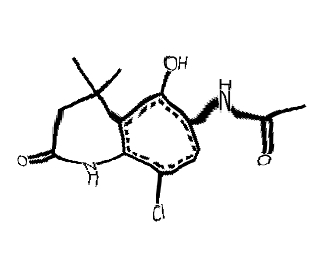 CC(=O)Nc1cc(Cl)c2c(c1O)C(C)(C)CC(=O)N2